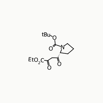 CCOC(=O)C(=O)CC(=O)[C@H]1CCCN1C(=O)OC(C)(C)C